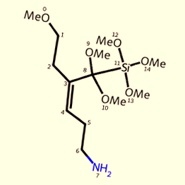 COCCC(=CCCN)C(OC)(OC)[Si](OC)(OC)OC